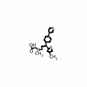 Cc1csc(C(=CCN(C)CC(=O)O)c2ccc(-c3ccsc3)cc2)c1